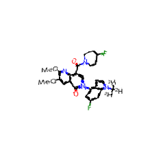 [2H]C([2H])([2H])n1ccc2c(-n3cc(C(=O)N4CCC(F)CC4)c4nc(OC)c(OC)cc4c3=O)cc(F)cc21